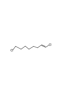 Cl/C=C/CCCCCCCl